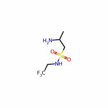 CC(N)CS(=O)(=O)NCC(F)(F)F